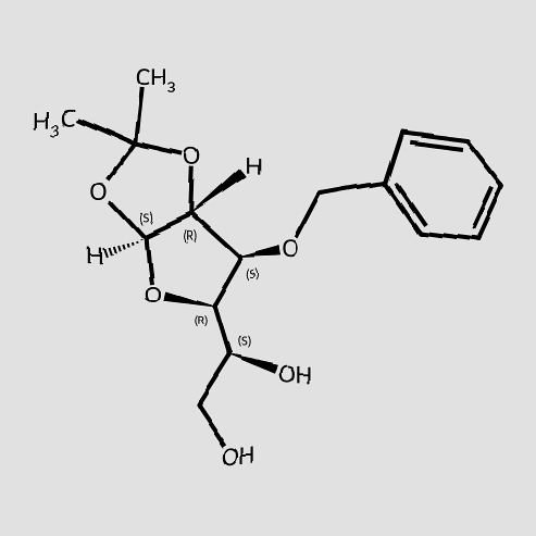 CC1(C)O[C@@H]2O[C@H]([C@@H](O)CO)[C@H](OCc3ccccc3)[C@H]2O1